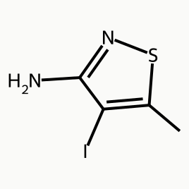 Cc1snc(N)c1I